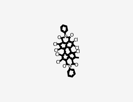 Cc1c2c3c(c(Cl)c(Cl)c4c5c(Cl)c(Cl)c6c7c(c(Cl)c(Cl)c(c(c1Cl)c34)c75)C(=O)N(c1ccccc1)C6=O)C(=O)N(c1ccccc1)C2=O